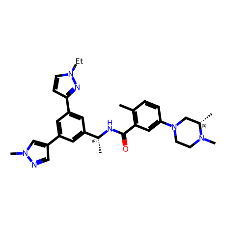 CCn1ccc(-c2cc(-c3cnn(C)c3)cc([C@@H](C)NC(=O)c3cc(N4CCN(C)[C@@H](C)C4)ccc3C)c2)n1